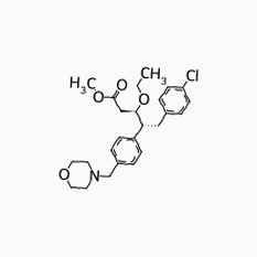 CCO[C@H](CC(=O)OC)[C@H](Cc1ccc(Cl)cc1)c1ccc(CN2CCOCC2)cc1